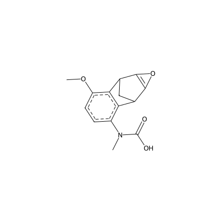 COc1ccc(N(C)C(=O)O)c2c1C1CC2C2=C1O2